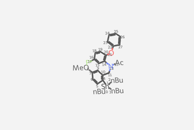 CCC[CH2][Sn]([CH2]CCC)([CH2]CCC)[c]1ccc(OC)cc1CN(C(C)=O)c1cc(F)ccc1Oc1ccccc1